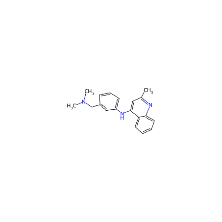 Cc1cc(Nc2cccc(CN(C)C)c2)c2ccccc2n1